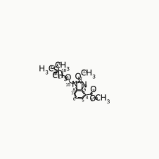 COC(=O)c1cccc2c1nc(OC)n2COCC[Si](C)(C)C